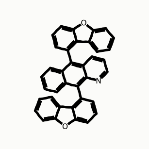 c1ccc2c(c1)oc1cccc(-c3c4ccccc4c(-c4cccc5oc6ccccc6c45)c4ncccc34)c12